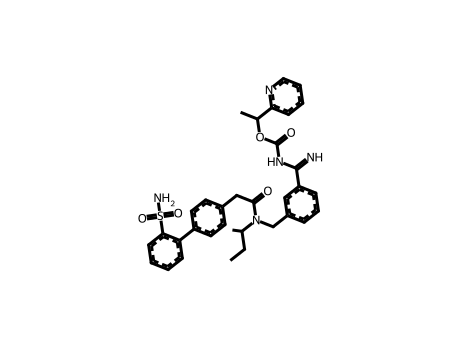 CCC(C)N(Cc1cccc(C(=N)NC(=O)OC(C)c2ccccn2)c1)C(=O)Cc1ccc(-c2ccccc2S(N)(=O)=O)cc1